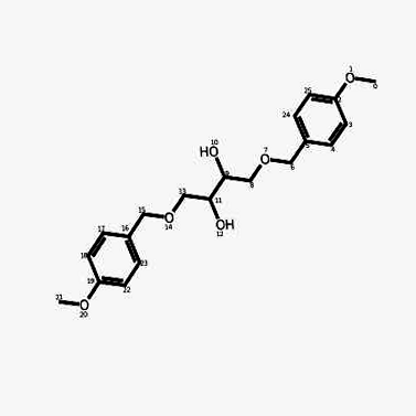 COc1ccc(COCC(O)C(O)COCc2ccc(OC)cc2)cc1